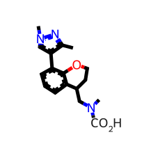 Cc1nn(C)cc1-c1cccc2c1OCCC2CN(C)C(=O)O